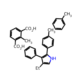 CCc1c[nH]c(-c2ccc(C)cc2)c1-c1ccccc1.Cc1c(C(=O)O)cccc1C(=O)O.Cc1ccccc1